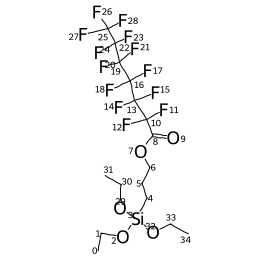 CCO[Si](CCCOC(=O)C(F)(F)C(F)(F)C(F)(F)C(F)(F)C(F)(F)C(F)(F)F)(OCC)OCC